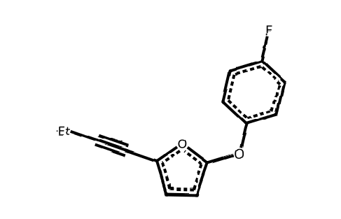 C[CH]C#Cc1ccc(Oc2ccc(F)cc2)o1